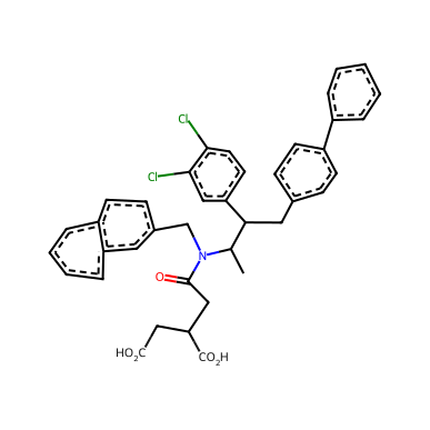 CC(C(Cc1ccc(-c2ccccc2)cc1)c1ccc(Cl)c(Cl)c1)N(Cc1ccc2ccccc2c1)C(=O)CC(CC(=O)O)C(=O)O